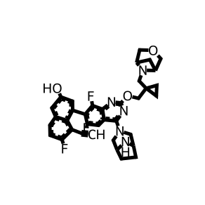 C#Cc1c(F)ccc2cc(O)cc(-c3c(F)cc4c(N5CC6CCC(C5)N6)nc(OCC5(CN6C7COCC6C7)CC5)nc4c3F)c12